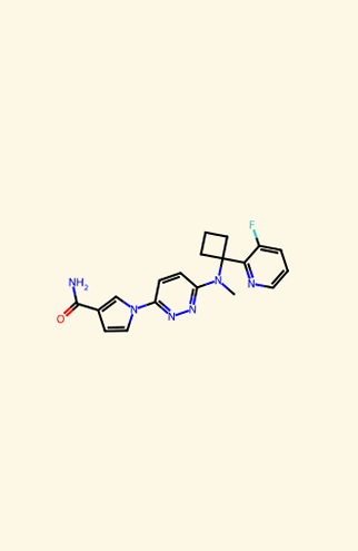 CN(c1ccc(-n2ccc(C(N)=O)c2)nn1)C1(c2ncccc2F)CCC1